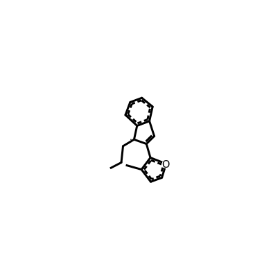 CCC[C]1C(c2occc2C)=Cc2ccccc21